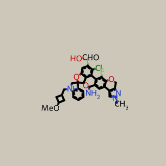 COC1CC(CNCC2(c3ccccc3)Cc3c(cc(F)c(Cl)c3-c3c(C(N)=O)cc4c(c3F)OCc3nn(C)cc3-4)O2)C1.O=CO